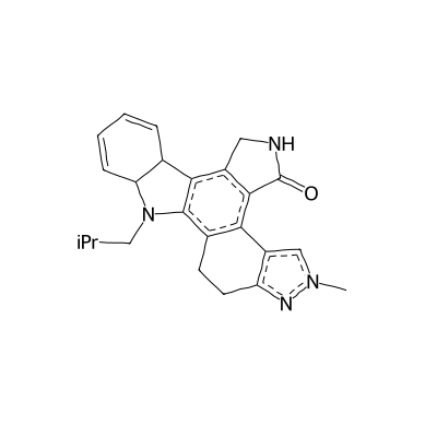 CC(C)CN1c2c3c(c4c(c2C2C=CC=CC21)CNC4=O)-c1cn(C)nc1CC3